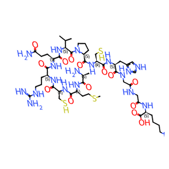 CSCC[C@H](NC(=O)[C@H](C)N)C(=O)N[C@@H](CS)C(=O)N[C@@H](CCCNC(=N)N)C(=O)N[C@@H](CCC(N)=O)C(=O)N[C@H](C(=O)N1CCC[C@H]1C(=O)N[C@@H](CS)C(=O)N[C@@H](Cc1c[nH]cn1)C(=O)NCC(=O)NCC(=O)N[C@@H](CCCCN)C(=O)O)C(C)C